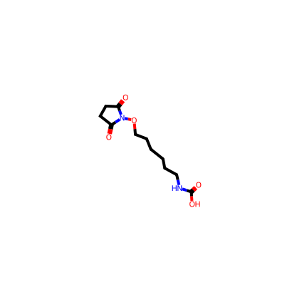 O=C(O)NCCCCCCON1C(=O)CCC1=O